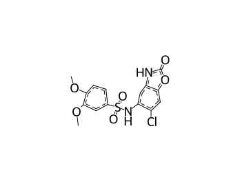 COc1ccc(S(=O)(=O)Nc2cc3[nH]c(=O)oc3cc2Cl)cc1OC